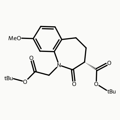 COc1ccc2c(c1)N(CC(=O)OC(C)(C)C)C(=O)[C@@H](C(=O)OC(C)(C)C)CC2